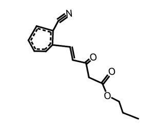 CCCOC(=O)CC(=O)C=Cc1ccccc1C#N